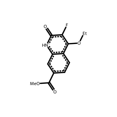 CCOc1c(F)c(=O)[nH]c2cc(C(=O)OC)ccc12